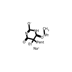 CCCC.CCCC(C)C1(CC)C(=O)N=C([O-])NC1=O.[Na+]